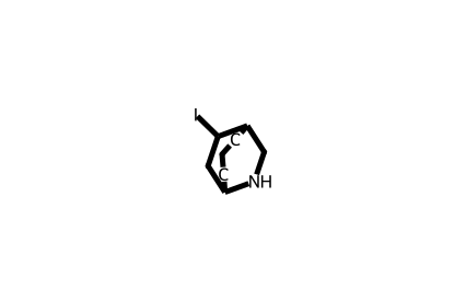 IC1CC2CCCC1CN2